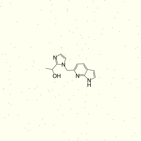 CC(O)c1nccn1Cc1ccc2cc[nH]c2n1